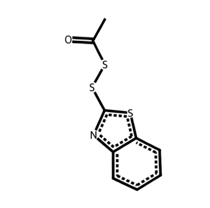 CC(=O)SSc1nc2ccccc2s1